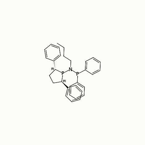 CCCCN(P(c1ccccc1)c1ccccc1)P1[C@@H](c2ccccc2)CC[C@@H]1c1ccccc1